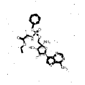 CCOC(=O)[C@H](C)NP(=O)(OC[C@@]1(N)O[C@@H](c2csc3c(N)ncnc23)[C@H](F)[C@@H]1O)Oc1ccccc1